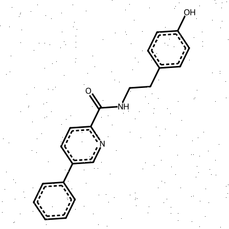 O=C(NCCc1ccc(O)cc1)c1ccc(-c2ccccc2)cn1